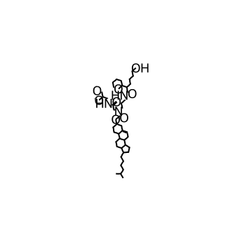 COCC(CNC(=O)CN(CCCNC(=O)C(CCCCO)C1CCCCO1)C(=O)OC1CCC2C(=CCC3C2CCC2C(CCCCC(C)C)CCC23)C1)OC